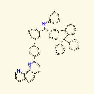 c1ccc(C2(c3ccccc3)c3ccccc3-c3c2ccc2c(-c4cccc(-c5ccc(-c6ccc7ccc8cccnc8c7n6)cc5)c4)nc4ccccc4c32)cc1